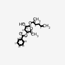 C=CCC[C@@H](C)O[C@@H]1OC(C)[C@H](OC(=O)c2ccccc2)C[C@@H]1O